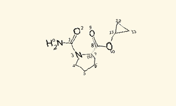 NC(=O)N1CCC[C@H]1C(=O)OC1CC1